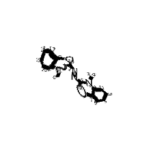 Cn1/c(=N\N=c2\oc3ccccc3n2C)oc2ccccc21